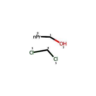 CCCCO.ClCCl